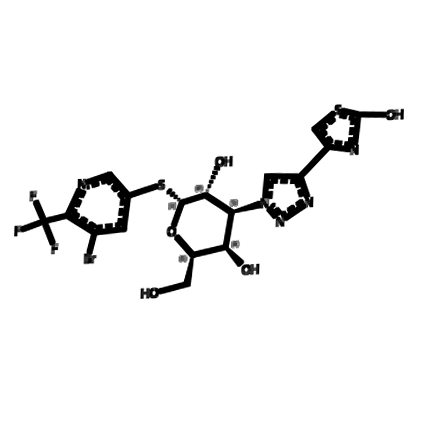 OC[C@H]1O[C@H](Sc2cnc(C(F)(F)F)c(Br)c2)[C@H](O)[C@@H](n2cc(-c3csc(O)n3)nn2)[C@H]1O